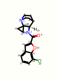 O=C(N[C@@H]1C2CCN(CC2)C12CC2)c1cc2cccc(Cl)c2o1